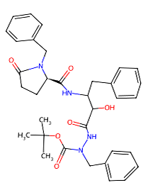 CC(C)(C)OC(=O)N(Cc1ccccc1)NC(=O)C(O)C(Cc1ccccc1)NC(=O)[C@H]1CCC(=O)N1Cc1ccccc1